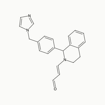 O=CC=CN1CCc2ccccc2C1c1ccc(Cn2ccnc2)cc1